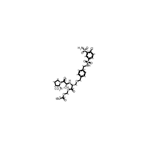 C[C@H](N[C@@H](COCc1ccc(CNS(=O)(=O)c2ccc(Cl)c(S(N)(=O)=O)c2)cc1)C(=O)OCOC(=O)C(C)(C)C)C(=O)N1CCC[C@H]1C(=O)O